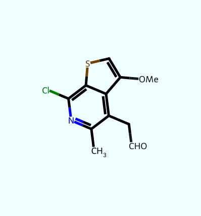 COc1csc2c(Cl)nc(C)c(CC=O)c12